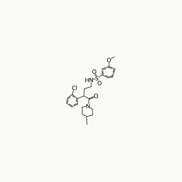 COc1cccc(S(=O)(=O)NCCC(C(=O)N2CCC(C)CC2)c2ccccc2Cl)c1